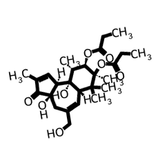 CCC(=O)O[C@@H]1[C@@H](C)[C@@]2(O)[C@@H](C=C(CO)C[C@]3(O)C(=O)C(C)=C[C@@H]23)C(C)(C)[C@]1(C)OC(=O)CC